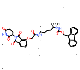 O=C(COc1cccc2c1C(=O)N(C1CCC(=O)NC1=O)C2=O)NCCCCC(NC(=O)OCC1c2ccccc2-c2ccccc21)C(=O)O